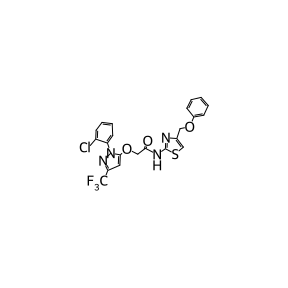 O=C(COc1cc(C(F)(F)F)nn1-c1ccccc1Cl)Nc1nc(COc2ccccc2)cs1